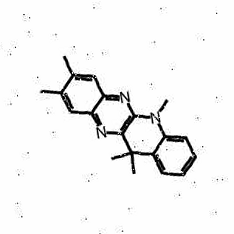 Cc1cc2nc3c(nc2cc1C)C(C)(C)c1ccccc1N3C